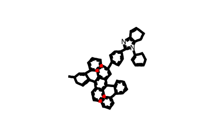 CC1C=C(c2ccccc2)C(c2c3ccccc3c(-c3ccccc3-c3ccccc3)c3cc(-c4ccc(-c5nc6c(n5C5=CC=CCC5)CCC=C6)cc4)ccc23)=CC1